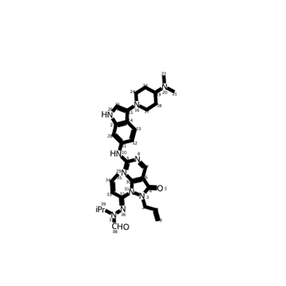 C=CCn1c(=O)c2cnc(Nc3ccc4c(N5CCC(N(C)C)CC5)c[nH]c4c3)nc2n1C(/C=C\C)=N/N(C=O)C(C)C